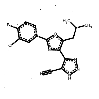 CC(C)Cc1oc(-c2ccc(F)c(Cl)c2)nc1-c1nn[nH]c1C#N